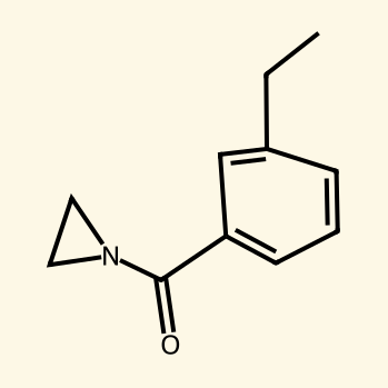 CCc1cccc(C(=O)N2CC2)c1